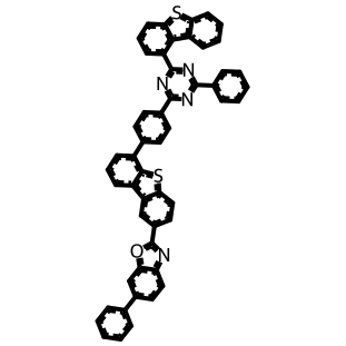 c1ccc(-c2ccc3nc(-c4ccc5sc6c(-c7ccc(-c8nc(-c9ccccc9)nc(-c9cccc%10sc%11ccccc%11c9%10)n8)cc7)cccc6c5c4)oc3c2)cc1